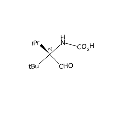 CC(C)[C@](C=O)(NC(=O)O)C(C)(C)C